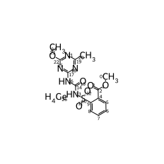 COC(=O)c1ccccc1S(=O)(=O)NC(=O)Nc1nc(C)nc(OC)n1.[GeH4]